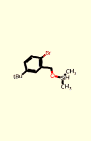 C[SiH](C)OCc1cc(C(C)(C)C)ccc1Br